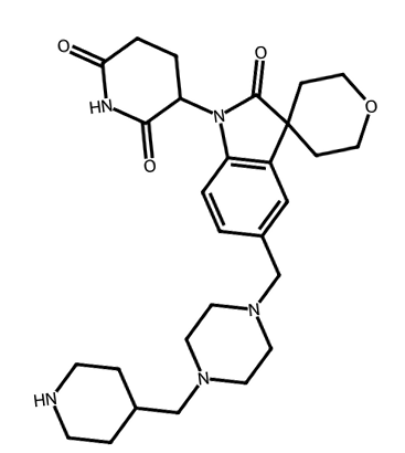 O=C1CCC(N2C(=O)C3(CCOCC3)c3cc(CN4CCN(CC5CCNCC5)CC4)ccc32)C(=O)N1